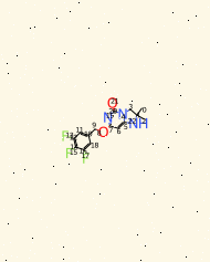 CC1(C)Cn2c(cc(OCc3cc(F)c(F)c(F)c3)nc2=O)N1